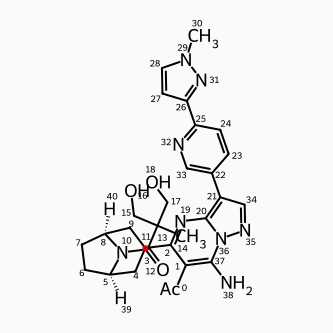 CC(=O)c1c(C2C[C@H]3CC[C@@H](C2)N3C(=O)C(C)(CO)CO)nc2c(-c3ccc(-c4ccn(C)n4)nc3)cnn2c1N